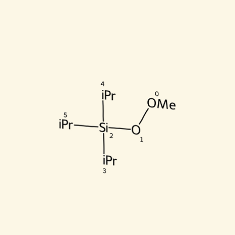 COO[Si](C(C)C)(C(C)C)C(C)C